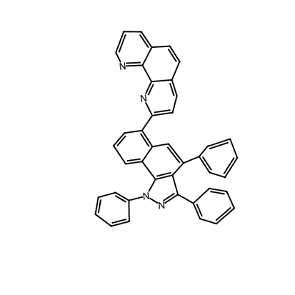 c1ccc(-c2cc3c(-c4ccc5ccc6cccnc6c5n4)cccc3c3c2c(-c2ccccc2)nn3-c2ccccc2)cc1